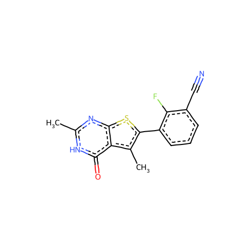 Cc1nc2sc(-c3cccc(C#N)c3F)c(C)c2c(=O)[nH]1